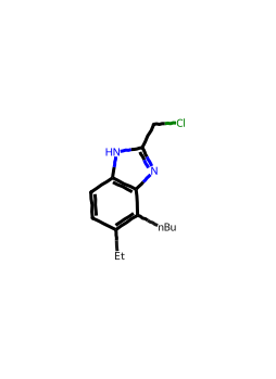 CCCCc1c(CC)ccc2[nH]c(CCl)nc12